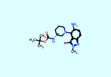 Cn1nc2ccc(N)c(N3CCC[C@@H](NC(=O)OC(C)(C)C)C3)c2c1I